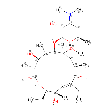 CC/C1=C\[C@](C)(O)[C@@H](CC)OC(=O)[C@H](C)[C@@H](O)[C@H](C)[C@@H](O[C@@H]2O[C@H](C)C[C@H](N(C)C)[C@H]2O)[C@@](C)(OC)C[C@@H](C)C1=O